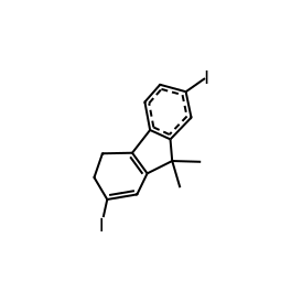 CC1(C)C2=C(CCC(I)=C2)c2ccc(I)cc21